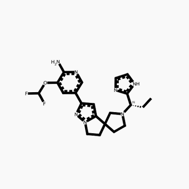 CC[C@@H](c1ncc[nH]1)N1CCC2(CCn3nc(-c4cnc(N)c(OC(F)F)c4)cc32)C1